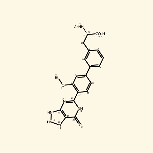 CCOc1cc(-c2cccc(C[C@H](NC(C)=O)C(=O)O)c2)ccc1-c1nc2c(c(=O)[nH]1)NNN2